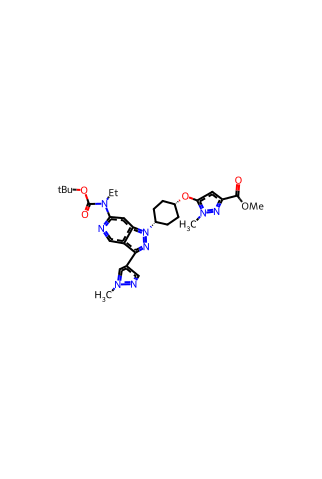 CCN(C(=O)OC(C)(C)C)c1cc2c(cn1)c(-c1cnn(C)c1)nn2[C@H]1CC[C@@H](Oc2cc(C(=O)OC)nn2C)CC1